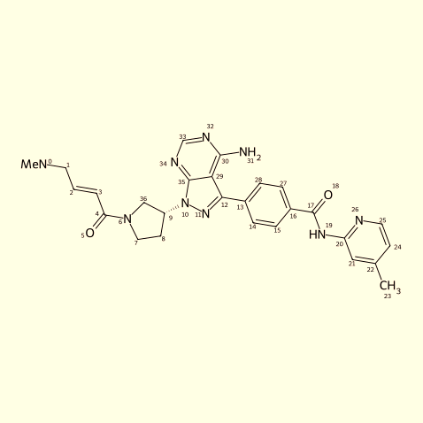 CNCC=CC(=O)N1CC[C@@H](n2nc(-c3ccc(C(=O)Nc4cc(C)ccn4)cc3)c3c(N)ncnc32)C1